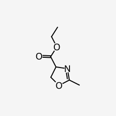 CCOC(=O)C1COC(C)=N1